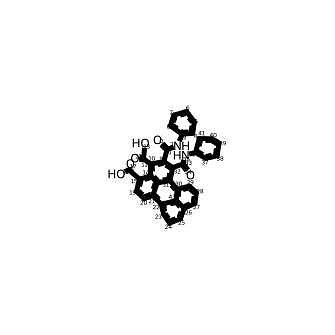 O=C(Nc1ccccc1)c1c(C(=O)O)c2c(C(=O)O)ccc3c4cccc5cccc(c(c1C(=O)Nc1ccccc1)c23)c54